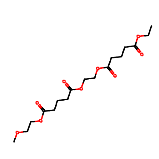 CCOC(=O)CCCC(=O)OCCOC(=O)CCCC(=O)OCCOC